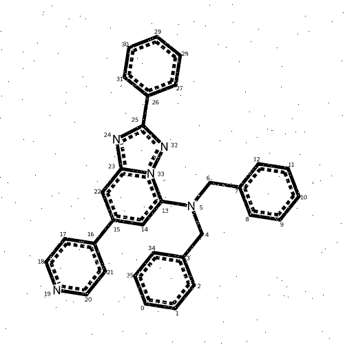 c1ccc(CN(Cc2ccccc2)c2cc(-c3ccncc3)cc3nc(-c4ccccc4)nn23)cc1